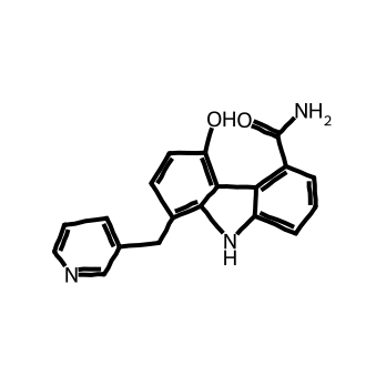 NC(=O)c1cccc2[nH]c3c(Cc4cccnc4)ccc(O)c3c12